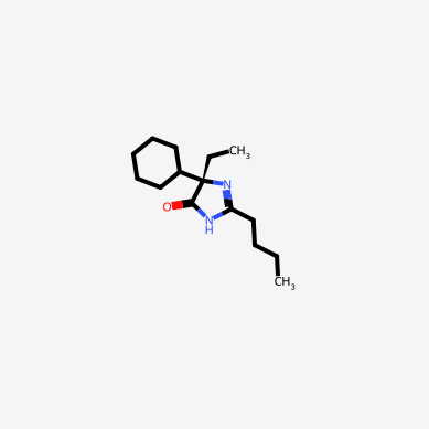 CCCCC1=N[C@@](CC)(C2CCCCC2)C(=O)N1